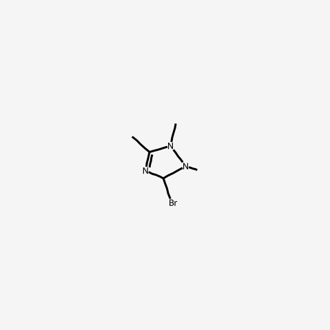 CC1=NC(Br)N(C)N1C